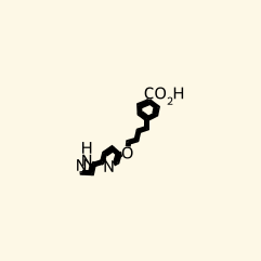 O=C(O)c1ccc(CCCCOc2ccc(-c3ccn[nH]3)nc2)cc1